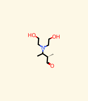 CC([C@H](C)C=O)N(CCO)CCO